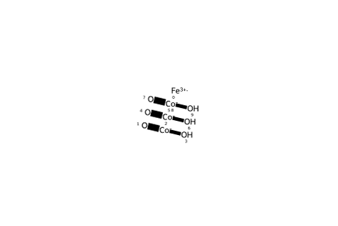 [Fe+3].[O]=[Co-][OH].[O]=[Co-][OH].[O]=[Co-][OH]